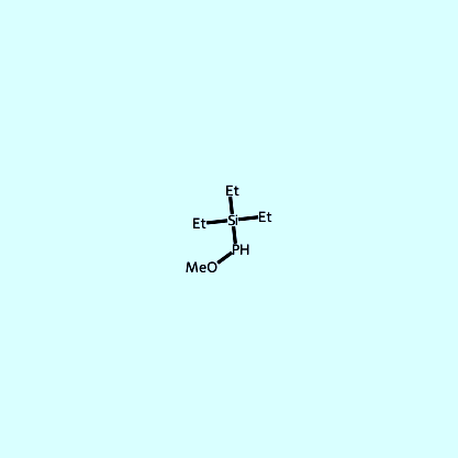 CC[Si](CC)(CC)POC